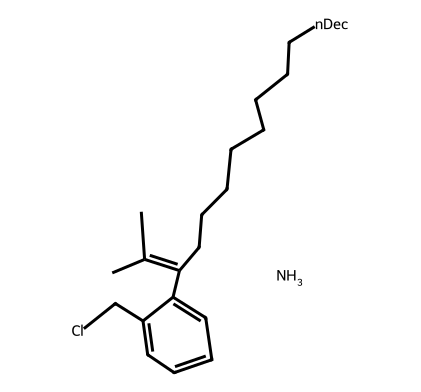 CCCCCCCCCCCCCCCCCCC(=C(C)C)c1ccccc1CCl.N